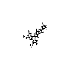 Cc1cc(-c2nc(C)n(CCF)c2-c2ccc3nc(NC(=O)c4ccnc(F)c4)cn3n2)ccc1F